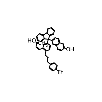 C=C(O)/C=C\c1cc(C2(c3ccc4cc(O)ccc4c3)c3ccccc3-c3ccccc32)ccc1CCCc1ccc(CC)cc1